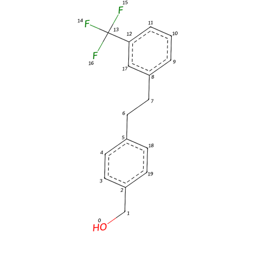 OCc1ccc(CCc2cccc(C(F)(F)F)c2)cc1